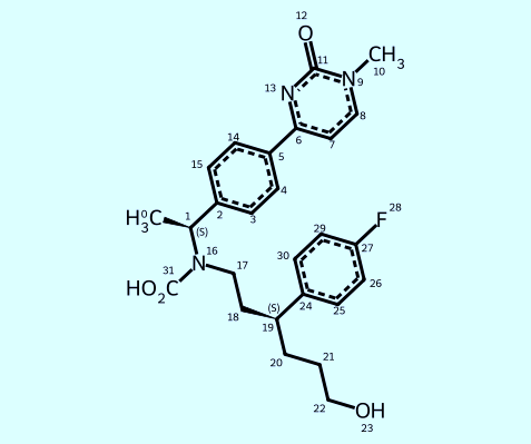 C[C@@H](c1ccc(-c2ccn(C)c(=O)n2)cc1)N(CC[C@H](CCCO)c1ccc(F)cc1)C(=O)O